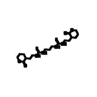 O=C1OCCCC1CCNC(=S)NCCCNC(=S)NCCC1CCCOC1=O